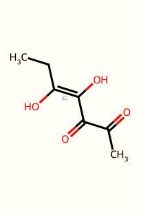 CC/C(O)=C(\O)C(=O)C(C)=O